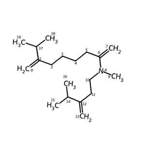 C=C(CCCCC(=C)N(C)CCC(=C)C(C)C)C(C)C